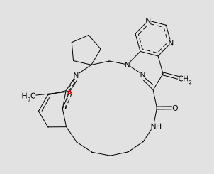 C=C1C2=NN(CC3(CCCC3)n3cc(C)c4c3C=CCC4CCCCCNC2=O)c2cncnc21